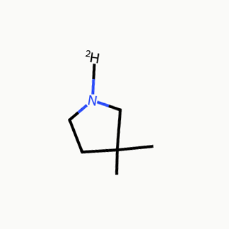 [2H]N1CCC(C)(C)C1